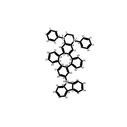 c1ccc(N2CCN(c3ccccc3)c3cc4c(cc32)-c2ccccc2-c2ccc(-n3c5ccccc5c5ccccc53)cc2-c2ccccc2-4)cc1